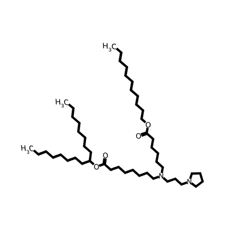 CCCCCCCCCCCOC(=O)CCCCCN(CCCCCCCC(=O)OC(CCCCCCCC)CCCCCCCC)CCCN1CCCC1